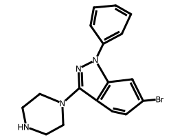 Brc1ccc2c(N3CCNCC3)nn(-c3ccccc3)c2c1